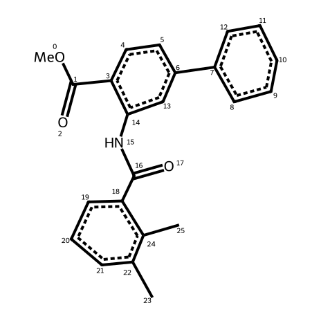 COC(=O)c1ccc(-c2ccccc2)cc1NC(=O)c1cccc(C)c1C